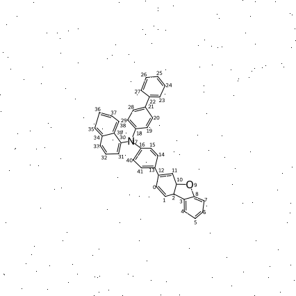 C1=CC2c3ccccc3OC2C=C1c1ccc(N(c2ccc(-c3ccccc3)cc2)c2cccc3ccccc23)cc1